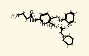 C=C(CN1CCCCC1)Oc1ccccc1/N=N/c1ccc(NC(=O)CCN)nc1N